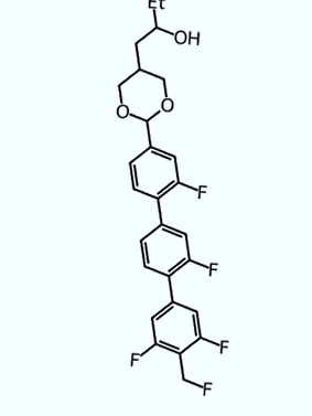 CCC(O)CC1COC(c2ccc(-c3ccc(-c4cc(F)c(CF)c(F)c4)c(F)c3)c(F)c2)OC1